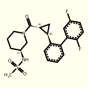 CS(=O)(=O)N[C@H]1CCCN(C(=O)[C@@H]2C[C@H]2c2ccccc2-c2cc(F)ccc2F)C1